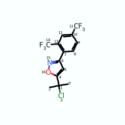 CC(C)(Cl)c1cc(-c2ccc(C(F)(F)F)cc2C(F)(F)F)no1